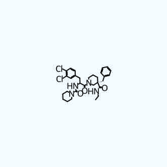 CCNC(=O)[C@]1(Cc2ccccc2)CCCN(C(=O)C(Cc2ccc(Cl)c(Cl)c2)NC(=O)N2CCCCC2)C1